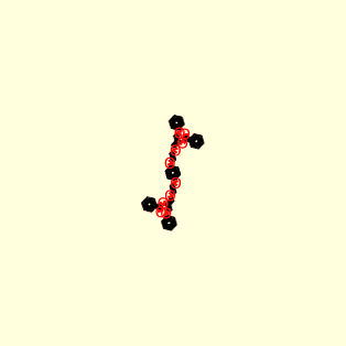 O=C(OC(COCCOc1ccc(OCCOCC(COc2ccccc2)OC(=O)c2ccccc2)cc1)COc1ccccc1)c1ccccc1